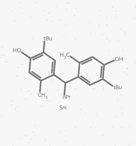 CCCC(c1cc(C(C)(C)C)c(O)cc1C)c1cc(C(C)(C)C)c(O)cc1C.[Sn]